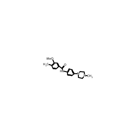 COc1cc(C(=O)Nc2ccc(N3CCN(C)CC3)cc2)ccc1C